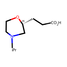 CC(C)N1CCO[C@H](CCC(=O)O)C1